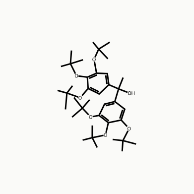 CC(C)(C)Oc1cc(C(C)(O)c2cc(OC(C)(C)C)c(OC(C)(C)C)c(OC(C)(C)C)c2)cc(OC(C)(C)C)c1OC(C)(C)C